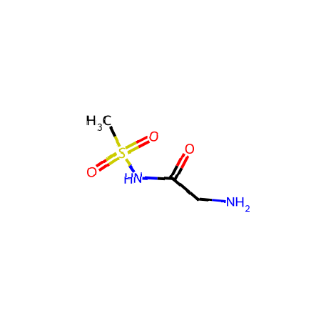 CS(=O)(=O)NC(=O)CN